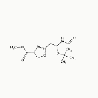 COC(=O)C1COC(CC(NC=O)OC(C)(C)C)=N1